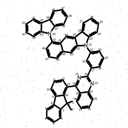 CC1(C)c2ccccc2-c2cccc(-c3nc(-c4cccc(-n5c6ccccc6c6cc7c(-n8c9ccccc9c9ccccc98)cccc7cc65)c4)nc4ccccc34)c21